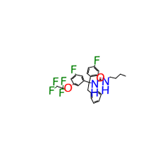 CCCCNC(=O)NC(Cc1ccccc1)(c1ccc(F)cc1)c1cc(F)cc(OC(F)(F)C(F)F)c1